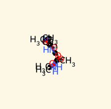 CCC(CC)NC(=O)Nc1ccc(Oc2ccc(NC(=O)c3ccc(OC4([N+](C)(C)C)CCCCC4)cc3)cc2)c(OC)c1